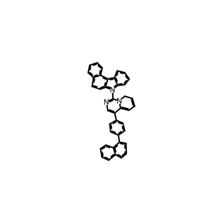 C1=CCN2C(=C1)C(c1ccc(-c3cccc4ccccc34)cc1)=CN=C2n1c2ccccc2c2c3ccccc3ccc21